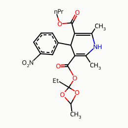 CCCOC(=O)C1=C(C)NC(C)=C(C(=O)OC2(CC)OC(C)O2)C1c1cccc([N+](=O)[O-])c1